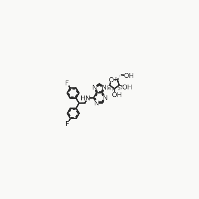 OC[C@H]1O[C@@H](n2cnc3c(NCC(c4ccc(F)cc4)c4ccc(F)cc4)ncnc32)[C@H](O)[C@@H]1O